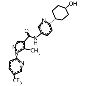 Cc1c(C(=O)Nc2ccc([C@H]3CC[C@H](O)CC3)nc2)cnn1-c1ccc(C(F)(F)F)cn1